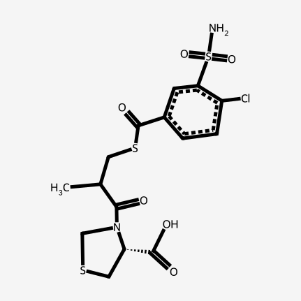 CC(CSC(=O)c1ccc(Cl)c(S(N)(=O)=O)c1)C(=O)N1CSC[C@H]1C(=O)O